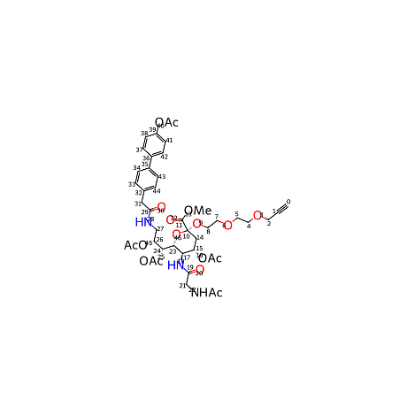 C#CCOCCOCCO[C@]1(C(=O)OC)C[C@H](OC(C)=O)[C@@H](NC(=O)CNC(C)=O)[C@H]([C@H](OC(C)=O)[C@@H](CNC(=O)Cc2ccc(-c3ccc(OC(C)=O)cc3)cc2)OC(C)=O)O1